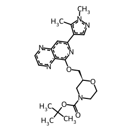 Cc1c(-c2cc3nccnc3c(OC[C@@H]3CN(C(=O)OC(C)(C)C)CCO3)n2)cnn1C